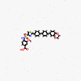 COc1cc(C(=O)O)ccc1NS(=O)(=O)c1csc(-c2ccc(-c3ccc(-c4ccc5c(c4)OCCO5)cc3)cc2)n1